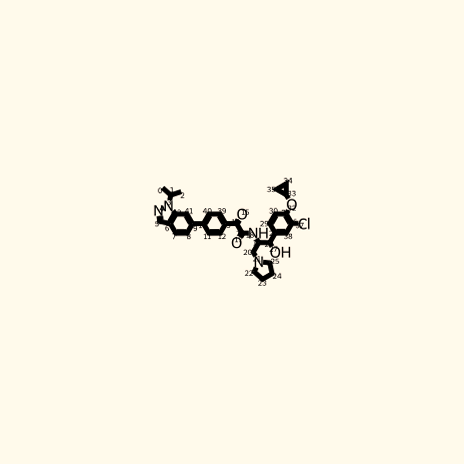 CC(C)n1ncc2ccc(-c3ccc(C(=O)C(=O)NC(CN4CCCC4)C(O)c4ccc(OC5CC5)c(Cl)c4)cc3)cc21